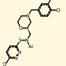 CC(=O)N(C[C@@H]1CN(Cc2ccc(Cl)c(Cl)c2)CCO1)Sc1ccc(Cl)nn1